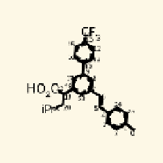 Cc1ccc(/C=C/c2cc(-c3ccc(C(F)(F)F)cc3)cc(C(CC(C)C)C(=O)O)c2)cc1